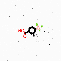 O=C(O)c1ccc([B-](F)(F)F)cc1.[K+]